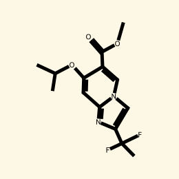 COC(=O)c1cn2cc(C(C)(F)F)nc2cc1OC(C)C